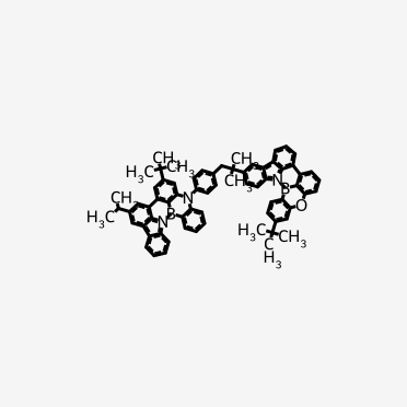 CC(C)c1cc2c3c(c1)c1ccccc1n3B1c3ccccc3N(c3ccc(CC(C)(C)c4ccc5c(c4)c4cccc6c4n5B4c5ccc(C(C)(C)C)cc5Oc5cccc-6c54)cc3)c3cc(C(C)(C)C)cc-2c31